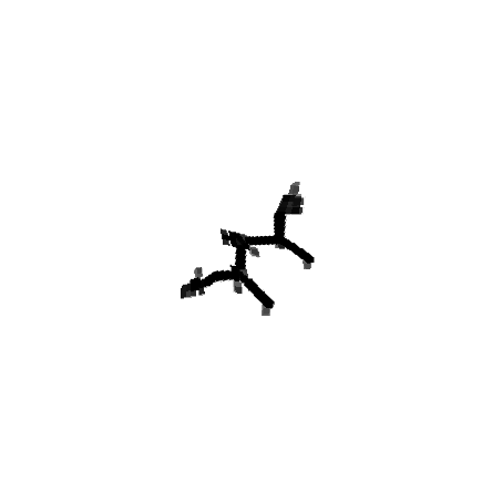 CCCN(C)NC(C)CC